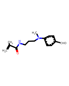 C=C(C)C(=O)NCCCN(C)c1ccc(C=O)cc1